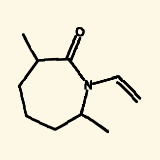 C=CN1C(=O)C(C)CCCC1C